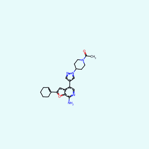 CC(=O)N1CCC(n2cc(-c3cnc(N)c4oc(C5=CCCCC5)cc34)cn2)CC1